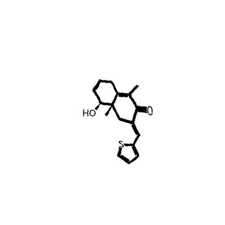 CC1=C2CCC[C@H](O)[C@@]2(C)C/C(=C\c2cccs2)C1=O